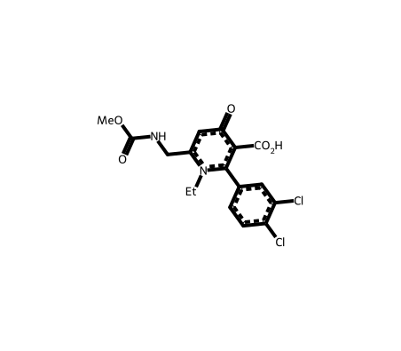 CCn1c(CNC(=O)OC)cc(=O)c(C(=O)O)c1-c1ccc(Cl)c(Cl)c1